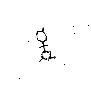 CC1COCC(C(C)(C)c2nc(F)nc(F)n2)CO1